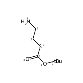 CC(C)(C)OC(=O)SCCN